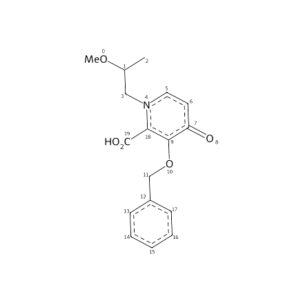 COC(C)Cn1ccc(=O)c(OCc2ccccc2)c1C(=O)O